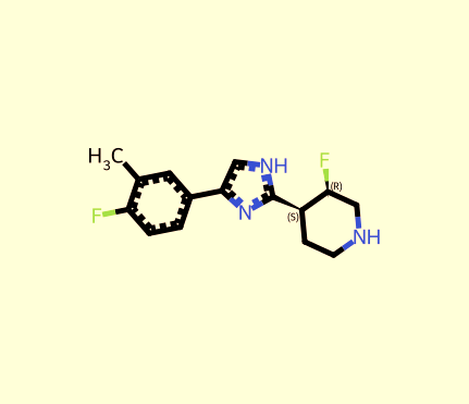 Cc1cc(-c2c[nH]c([C@@H]3CCNC[C@@H]3F)n2)ccc1F